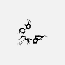 C[C@H](NC(=O)[C@H]1C[C@@H](c2cccc(C(F)(F)F)c2F)CCN1)C(=O)N[C@@H]1CCc2nc(N)ccc21